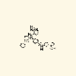 CC(C)(N[C@@H]1CC[C@H](C(=O)O)C1)c1ccc(-n2c(-c3cccnc3N)nc3ccc(-c4ccccc4)nc32)cc1